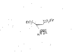 CCC[C@@H](C)C(C(=O)OCC)C(=O)OCC